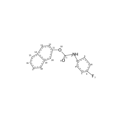 O=C(Nc1ccc(F)cc1)Oc1ccc2ccccc2c1